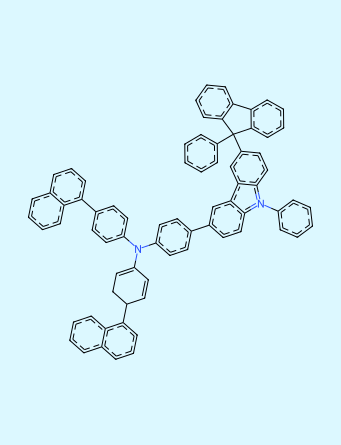 C1=CC(c2cccc3ccccc23)CC=C1N(c1ccc(-c2ccc3c(c2)c2cc(C4(c5ccccc5)c5ccccc5-c5ccccc54)ccc2n3-c2ccccc2)cc1)c1ccc(-c2cccc3ccccc23)cc1